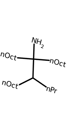 CCCCCCCCC(CCC)C(N)(CCCCCCCC)CCCCCCCC